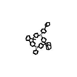 CC1(C)c2ccccc2-c2ccc(N(c3ccccc3)c3ccc(C4(c5ccc(N(c6ccccc6)c6ccc(C7CC8CCC7C8)cc6)cc5)C5CC6CC(C5)CC4C6)cc3)cc21